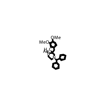 COc1ccc(CC2(C)CN(C(c3ccccc3)c3ccccc3)CCN2C(C)=O)cc1OC